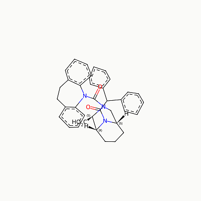 O=C(O)[C@@H]1[C@H]2CCC[C@@H](CN1C(=O)N1c3ccccc3CCc3ccccc31)N2C(=O)C(c1ccccc1)c1ccccc1